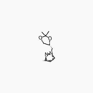 CC1(C)OC[C@@H](Cn2cc[c]n2)O1